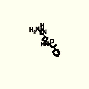 CC(CC(=O)N[C@H]1C[C@@H](c2cc(N)[nH]n2)C1)c1ccccc1